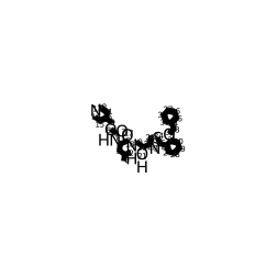 CC(C)CC(NC(=O)OCc1ccncc1)C(=O)NCC(O)c1csc(-c2ccccc2OCc2ccccc2)n1